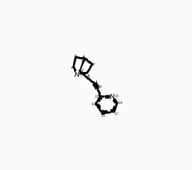 C(#CC1CC2CCN1CC2)c1ccccn1